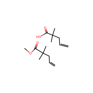 C=CCC(C)(C)C(=O)O.C=CCC(C)(C)C(=O)OC